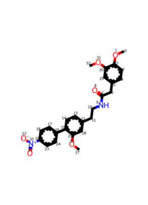 COc1ccc(CC(=O)NCCc2ccc(-c3ccc([N+](=O)[O-])cc3)c(OC)c2)cc1OC